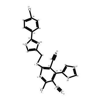 [C-]#[N+]c1c(Cl)nc(SCc2coc(-c3ccc(Cl)cc3)n2)c(C#N)c1-c1cncs1